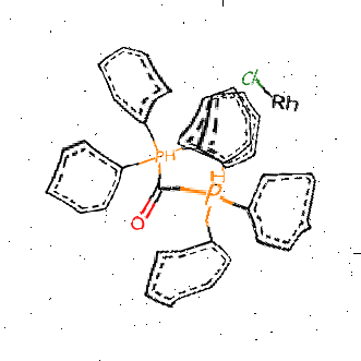 O=C([PH](c1ccccc1)(c1ccccc1)c1ccccc1)[PH](c1ccccc1)(c1ccccc1)c1ccccc1.[Cl][Rh]